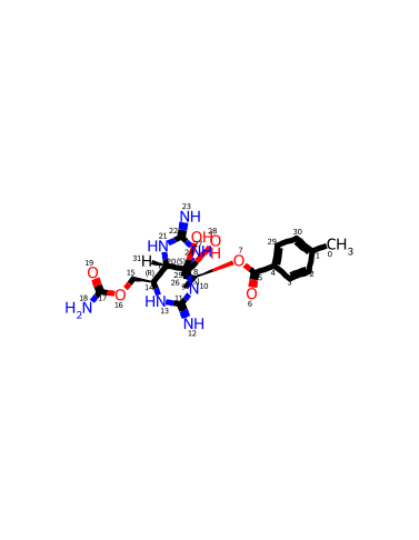 Cc1ccc(C(=O)O[C@H]2CN3C(=N)N[C@@H](COC(N)=O)[C@@H]4NC(=N)N[C@@]43C2(O)O)cc1